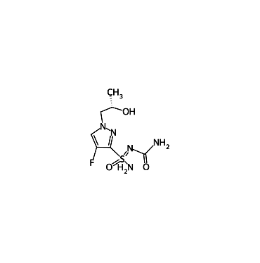 C[C@H](O)Cn1cc(F)c(S(N)(=O)=NC(N)=O)n1